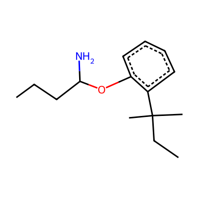 CCCC(N)Oc1ccccc1C(C)(C)CC